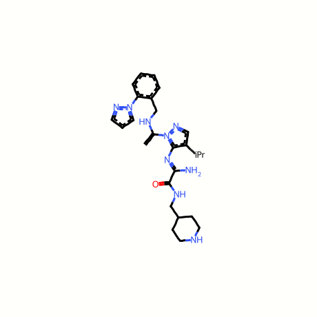 C=C(NCc1ccccc1-n1cccn1)n1ncc(C(C)C)c1/N=C(\N)C(=O)NCC1CCNCC1